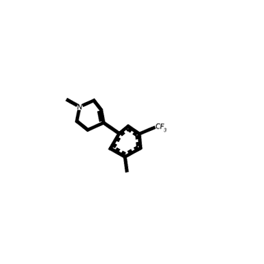 Cc1cc(C2=CCN(C)CC2)cc(C(F)(F)F)c1